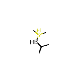 CC(C)B[SH](C)C